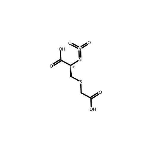 O=C(O)CSC[C@H](N=S(=O)=O)C(=O)O